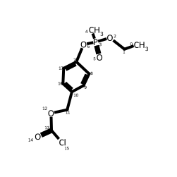 CCOP(C)(=O)Oc1ccc(COC(=O)Cl)cc1